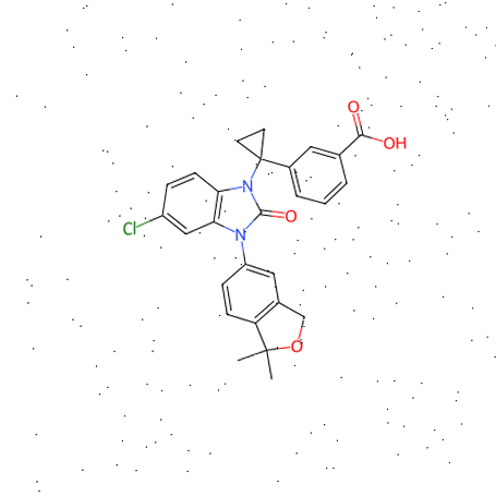 CC1(C)OCc2cc(-n3c(=O)n(C4(c5cccc(C(=O)O)c5)CC4)c4ccc(Cl)cc43)ccc21